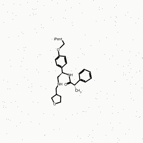 CCCC(C)COc1ccc([C@H](CNCC2CCOC2)NC(=O)[C@@H](C)c2ccccc2)cc1